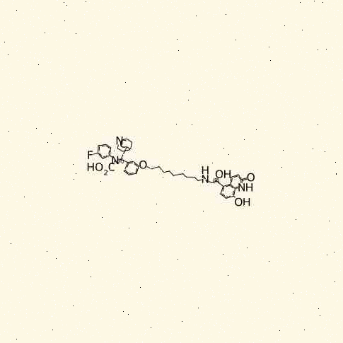 O=C(O)N(c1cccc(F)c1)[C@@H](c1cccc(OCCCCCCCCCNC[C@H](O)c2ccc(O)c3[nH]c(=O)ccc23)c1)C1CN2CCC1CC2